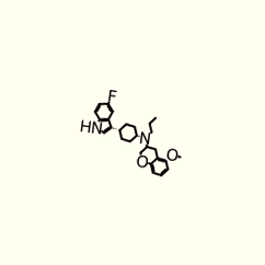 CCCN(C1COc2cccc(OC)c2C1)[C@H]1CC[C@@H](c2c[nH]c3ccc(F)cc32)CC1